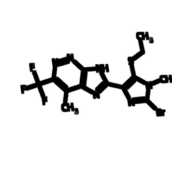 CCSc1c(-c2nc3c(C)c(C(F)(F)F)nnc3[nH]2)nc(Br)n1C